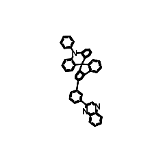 c1ccc(N2c3ccccc3C3(c4ccccc4-c4cc(-c5cccc(-c6cnc7ccccc7n6)c5)ccc43)c3ccccc32)cc1